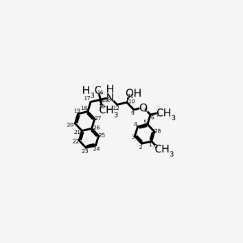 Cc1cccc(C(C)OC[C@H](O)CNC(C)(C)Cc2ccc3ccccc3c2)c1